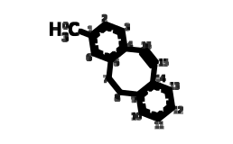 Cc1ccc2c(c1)CCc1ccccc1C#C2